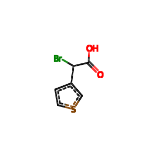 O=C(O)C(Br)c1ccsc1